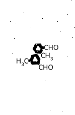 Cc1cccc(C=O)c1.Cc1ccccc1C=O